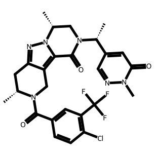 C[C@@H]1Cc2nn3c(c2CN1C(=O)c1ccc(Cl)c(C(F)(F)F)c1)C(=O)N([C@H](C)c1cnn(C)c(=O)c1)C[C@H]3C